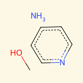 CO.N.c1ccncc1